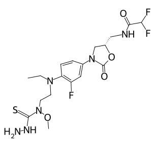 CCN(CCN(OC)C(=S)NN)c1ccc(N2C[C@H](CNC(=O)C(F)F)OC2=O)cc1F